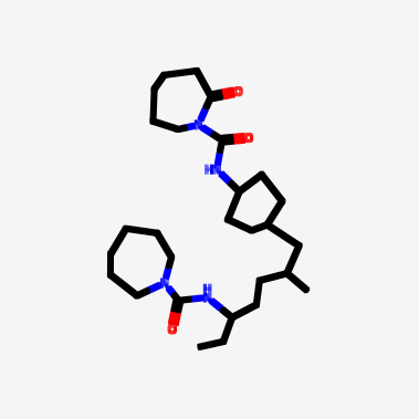 CCC(CCC(C)CC1CCC(NC(=O)N2CCCCCC2=O)CC1)NC(=O)N1CCCCCC1